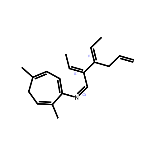 C=CCC(=C\C)/C(/C=N\C1=CC=C(C)CC=C1C)=C\C